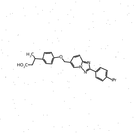 CC(C)c1ccc(-c2nc3ccc(COc4ccc(C(C)CC(=O)O)cc4)cn3n2)cc1